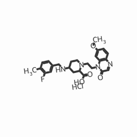 COc1ccc2ncc(=O)n(CCN3CCC(NCc4ccc(C)c(F)c4)CC3C(=O)O)c2c1.Cl